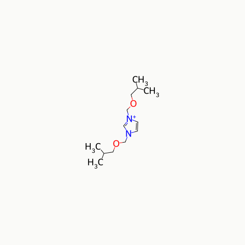 CC(C)COCn1cc[n+](COCC(C)C)c1